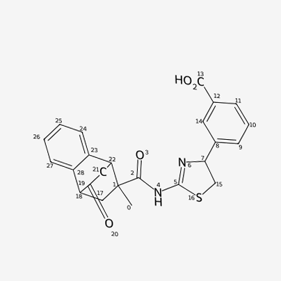 CC1(C(=O)NC2=NC(c3cccc(C(=O)O)c3)CS2)CC2C(=O)CC1c1ccccc12